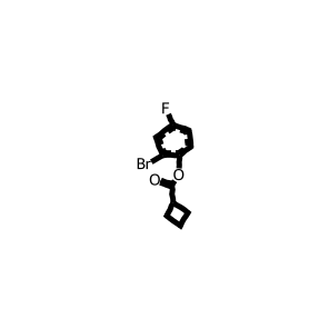 O=C(Oc1ccc(F)cc1Br)C1CCC1